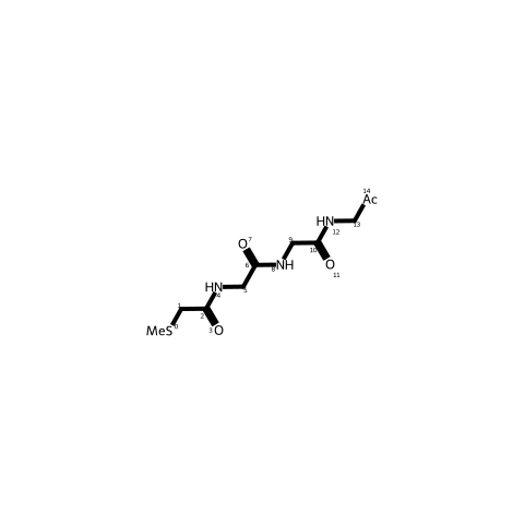 CSCC(=O)NCC(=O)NCC(=O)NCC(C)=O